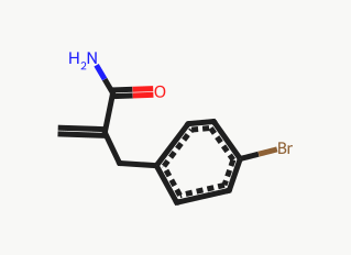 C=C(Cc1ccc(Br)cc1)C(N)=O